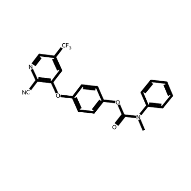 CN(C(=O)Oc1ccc(Oc2cc(C(F)(F)F)cnc2C#N)cc1)c1ccccc1